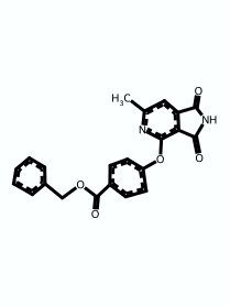 Cc1cc2c(c(Oc3ccc(C(=O)OCc4ccccc4)cc3)n1)C(=O)NC2=O